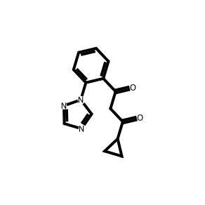 O=C(CC(=O)C1CC1)c1ccccc1-n1cncn1